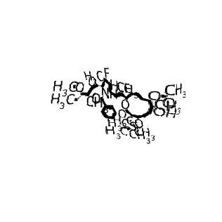 CC[C@H](OC)[C@@H](C)[C@H]1O[C@@H]1C(NC(=O)c1ccccc1)C(C)(F)/C=C/C=C(\C)C1OC(=O)C[C@H](O[Si](C)(C)C(C)(C)C)CC[C@@](C)(O)[C@@H](OC(C)=O)/C=C/[C@@H]1C